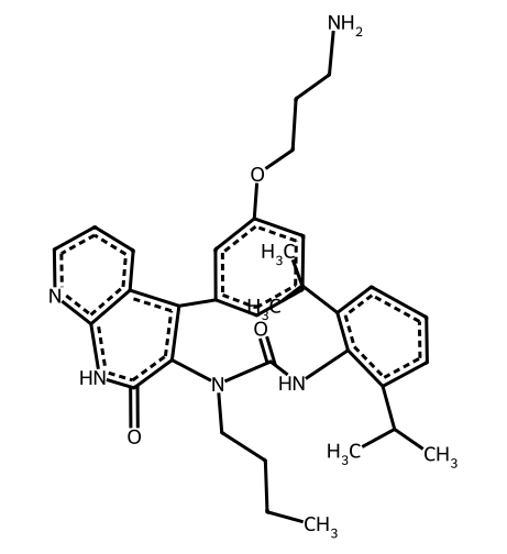 CCCCN(C(=O)Nc1c(C(C)C)cccc1C(C)C)c1c(-c2cccc(OCCCN)c2)c2cccnc2[nH]c1=O